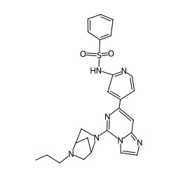 CCCN1CC2CC1CN2c1nc(-c2ccnc(NS(=O)(=O)c3ccccc3)c2)cc2nccn12